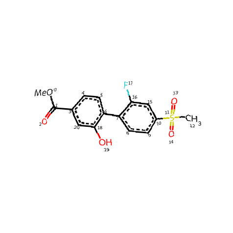 COC(=O)c1ccc(-c2ccc(S(C)(=O)=O)cc2F)c(O)c1